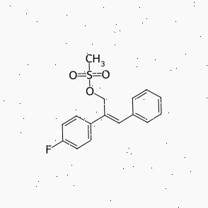 CS(=O)(=O)OCC(=Cc1ccccc1)c1ccc(F)cc1